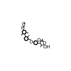 COCOc1cc(C)c(-c2cccc(COc3ccc4c(c3)OC3(CC3)C4C(C)C(=O)O)c2C)c(C)c1